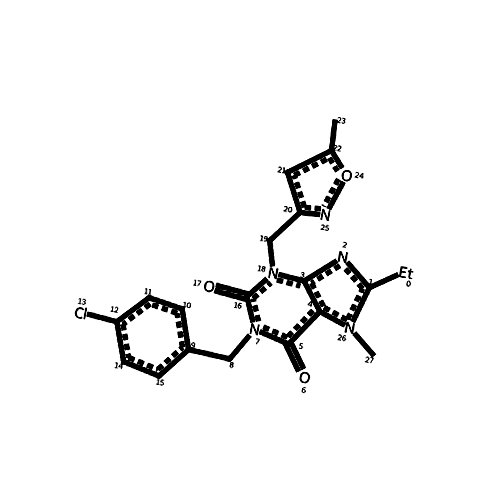 CCc1nc2c(c(=O)n(Cc3ccc(Cl)cc3)c(=O)n2Cc2cc(C)on2)n1C